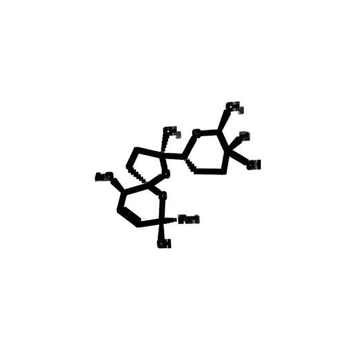 CCC[C@@H](C)[C@]1(O)C=C[C@@H](OC(C)=O)[C@]2(CC[C@@](C)([C@H]3CC[C@](O)(CC)[C@H](C)O3)O2)O1